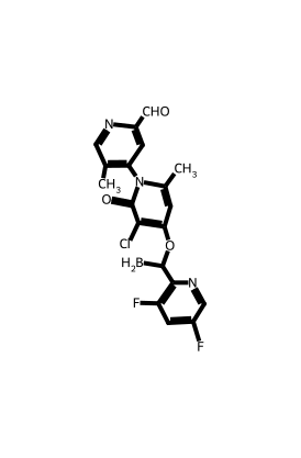 BC(Oc1cc(C)n(-c2cc(C=O)ncc2C)c(=O)c1Cl)c1ncc(F)cc1F